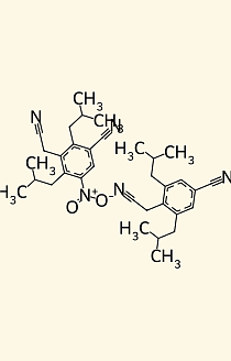 CC(C)Cc1c(C#N)cc([N+](=O)[O-])c(CC(C)C)c1CC#N.CC(C)Cc1cc(C#N)cc(CC(C)C)c1CC#N